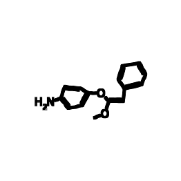 COC(=Cc1ccccc1)Oc1ccc(N)cc1